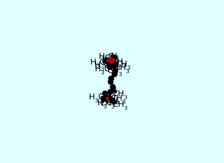 CCn1c2ccc(-c3ccc4ccc(-c5ccc6ccc(-n7c8c(C)c(C)cc(-c9cccc(-c%10c(C)nc(C)nc%10C)c9)c8c8c(-c9cccc(-c%10c(C)ncnc%10C)c9)c(C)c(C)c(C)c87)cc6c5)cc4c3)cc2c2cc(-c3cccc(-c4c(C)cc(C)nc4C)c3)c(-c3cccc(-c4c(C)cc(C)nc4C)c3)cc21